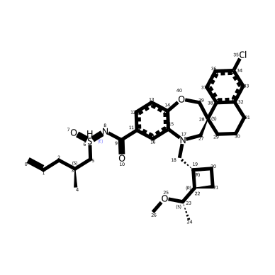 C=CC[C@H](C)C/[SH](=O)=N\C(=O)c1ccc2c(c1)N(C[C@@H]1CC[C@H]1[C@H](C)OC)C[C@@]1(CCCc3cc(Cl)ccc31)CO2